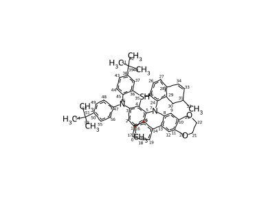 Cc1cc2c3c(c1)N(c1cc4c(cc1-c1ccccc1)OCCO4)c1c(ccc4c1CC(C)C=C4)[SH]3c1cc(C(C)(C)C)ccc1N2c1ccc(C(C)(C)C)cc1